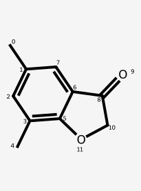 Cc1cc(C)c2c(c1)C(=O)CO2